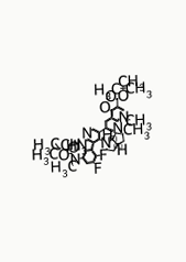 CC1C[C@@H]2CCN(c3c(-c4cnc5c(c4)c(=O)c(C(=O)OC(C)(C)C)cn5C)cnc4[nH]c5c(N(C)C(=O)OC(C)(C)C)cc(F)c(F)c5c34)[C@@H]2C1